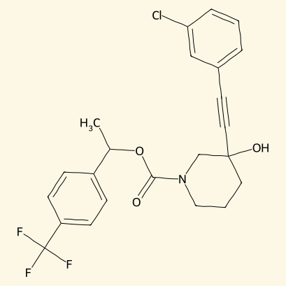 CC(OC(=O)N1CCCC(O)(C#Cc2cccc(Cl)c2)C1)c1ccc(C(F)(F)F)cc1